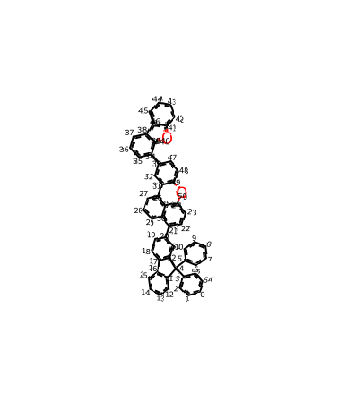 c1ccc(C2(c3ccccc3)c3ccccc3-c3ccc(-c4ccc5c6c(cccc46)-c4cc(-c6cccc7c6oc6ccccc67)ccc4O5)cc32)cc1